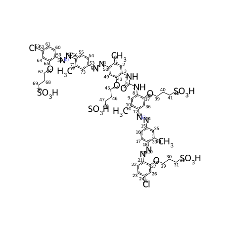 Cc1cc(NC(=O)Nc2cc(C)c(/N=N/c3ccc(N=Nc4ccc(Cl)cc4OCCCS(=O)(=O)O)c(C)c3)cc2OCCCS(=O)(=O)O)c(OCCCS(=O)(=O)O)cc1N=Nc1ccc(/N=N/c2ccc(Cl)cc2OCCCS(=O)(=O)O)c(C)c1